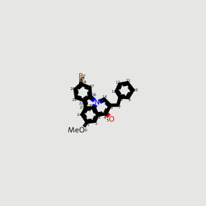 COc1cc2c(=O)c(Cc3ccccc3)cn3c4cc(Br)ccc4c(c1)c23